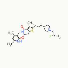 Cc1cc(C)c(CN2CCc3sc(CCCC4CCN(CC(C)F)CC4)c(C)c3C2=O)c(=O)[nH]1